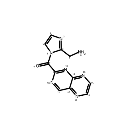 NCc1nccn1C(=O)c1ncc2nccnc2n1